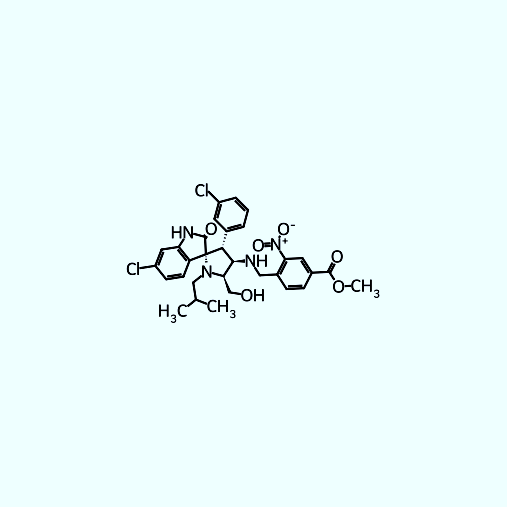 COC(=O)c1ccc(CN[C@H]2[C@@H](CO)N(CC(C)C)[C@]3(C(=O)Nc4cc(Cl)ccc43)[C@@H]2c2cccc(Cl)c2)c([N+](=O)[O-])c1